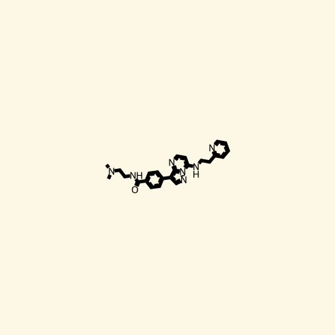 CN(C)CCNC(=O)c1ccc(-c2cnn3c(NCCc4ccccn4)ccnc23)cc1